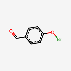 O=Cc1ccc(OBr)cc1